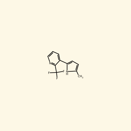 Cc1ccc(-c2cccnc2C(F)(F)F)[nH]1